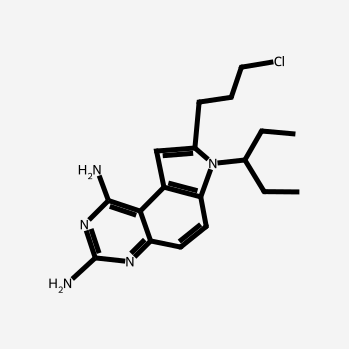 CCC(CC)n1c(CCCCl)cc2c3c(N)nc(N)nc3ccc21